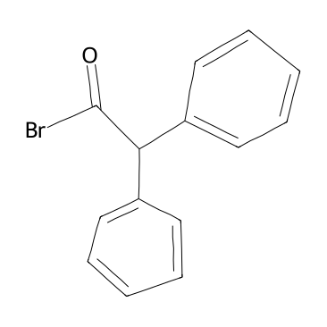 O=C(Br)C(c1ccccc1)c1ccccc1